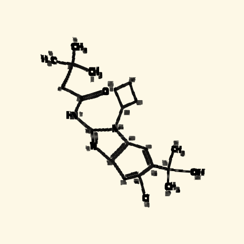 CC(C)(C)CC(=O)Nc1nc2cc(Cl)c(C(C)(C)O)cc2n1C1CCC1